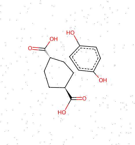 O=C(O)[C@H]1CC[C@H](C(=O)O)CC1.Oc1ccc(O)cc1